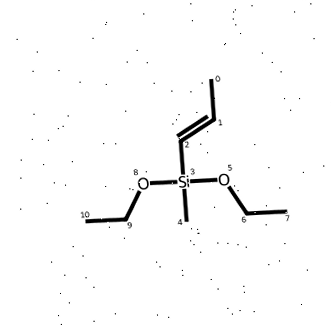 CC=C[Si](C)(OCC)OCC